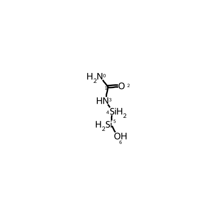 NC(=O)N[SiH2][SiH2]O